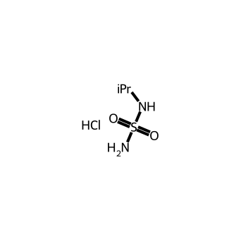 CC(C)NS(N)(=O)=O.Cl